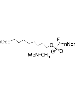 CCCCCCCCCCCCCCCCCCOS(=O)(=O)C(F)CCCCCCCCC.CNC